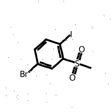 CS(=O)(=O)c1cc(Br)ccc1I